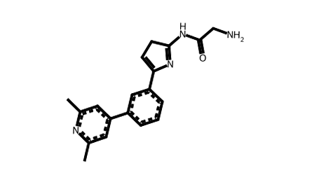 Cc1cc(-c2cccc(C3=CCC(NC(=O)CN)=N3)c2)cc(C)n1